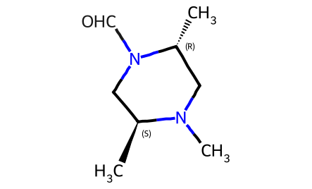 C[C@@H]1CN(C)[C@@H](C)CN1C=O